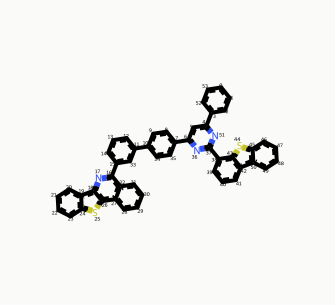 c1ccc(-c2cc(-c3ccc(-c4cccc(-c5nc6c7ccccc7sc6c6ccccc56)c4)cc3)nc(-c3cccc4c3sc3ccccc34)n2)cc1